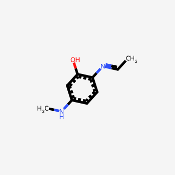 CC=Nc1ccc(NC)cc1O